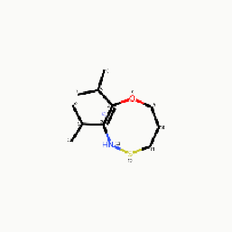 CC(C)/C1=C(\C(C)C)OCCCSN1